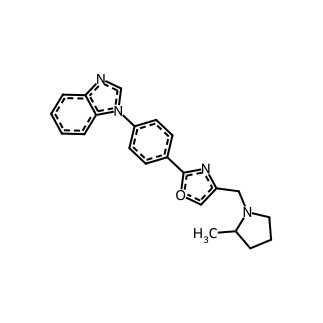 CC1CCCN1Cc1coc(-c2ccc(-n3cnc4ccccc43)cc2)n1